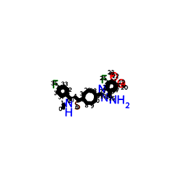 CCN[C@H](CC(=S)C1CCCC(c2nc(N)c3cc(OC)c(OC)c(F)c3n2)CCC1)c1ccc(F)cc1